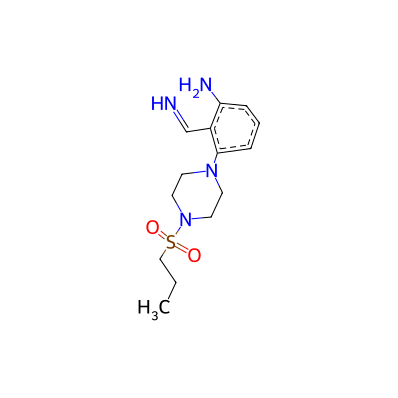 CCCS(=O)(=O)N1CCN(c2cccc(N)c2C=N)CC1